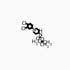 CC(C)(C)OC(=O)NC1CCN(c2ccc(Cl)c(Cl)c2)CC1